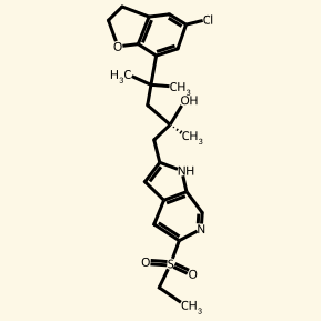 CCS(=O)(=O)c1cc2cc(C[C@](C)(O)CC(C)(C)c3cc(Cl)cc4c3OCC4)[nH]c2cn1